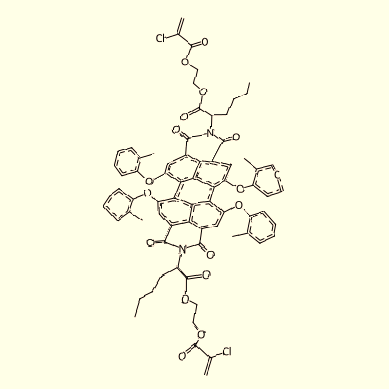 C=C(Cl)C(=O)OCCOC(=O)C(CCCC)N1C(=O)c2cc(Oc3ccccc3C)c3c4c(Oc5ccccc5C)cc5c6c(cc(Oc7ccccc7C)c(c7c(Oc8ccccc8C)cc(c2c37)C1=O)c64)C(=O)N(C(CCCC)C(=O)OCCOC(=O)C(=C)Cl)C5=O